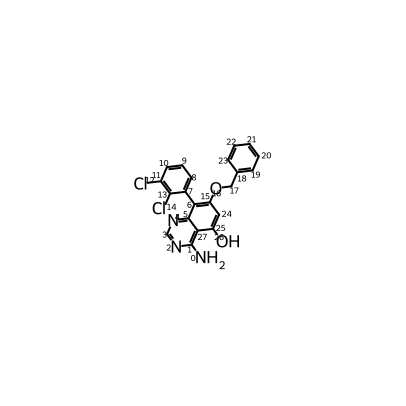 Nc1ncnc2c(-c3cccc(Cl)c3Cl)c(OCc3ccccc3)cc(O)c12